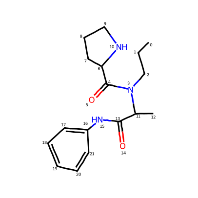 CCCN(C(=O)C1CCCN1)C(C)C(=O)Nc1ccccc1